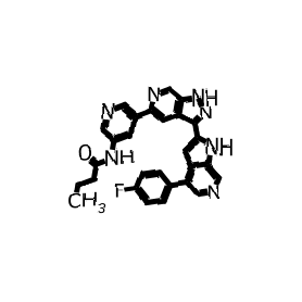 CCCC(=O)Nc1cncc(-c2cc3c(-c4cc5c(-c6ccc(F)cc6)cncc5[nH]4)n[nH]c3cn2)c1